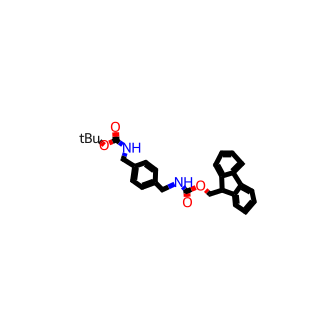 CC(C)(C)OC(=O)NCc1ccc(CNC(=O)OCC2c3ccccc3-c3ccccc32)cc1